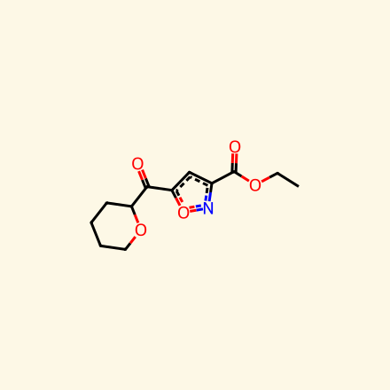 CCOC(=O)c1cc(C(=O)C2CCCCO2)on1